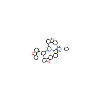 c1ccc(-c2cc(-c3cccc4oc5ccc(-c6nc(-c7ccccc7)nc(-c7ccccc7)n6)cc5c34)nc(-c3cc(-c4cccc5oc6ccccc6c45)cc(-c4cccc5oc6ccccc6c45)c3)n2)cc1